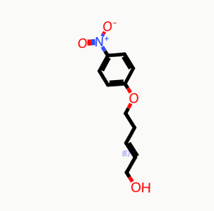 O=[N+]([O-])c1ccc(OCC/C=C/CO)cc1